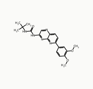 COc1ccc(-c2ccc3ncc(NC(=O)NC(C)(C)C)nc3n2)cc1OC